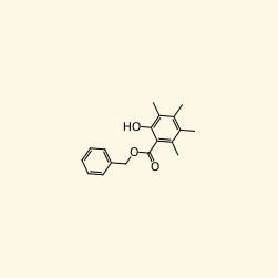 Cc1c(C)c(C)c(C(=O)OCc2ccccc2)c(O)c1C